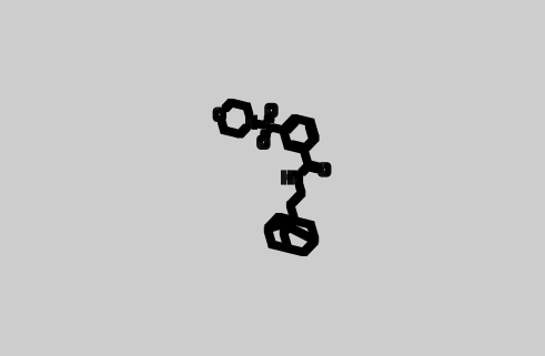 O=C(NCCC12CC3CC(CC(C3)C1)C2)c1cccc(S(=O)(=O)N2CCOCC2)c1